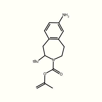 C=C(C)OC(=O)N1CCc2cc(N)ccc2CC1C(C)(C)C